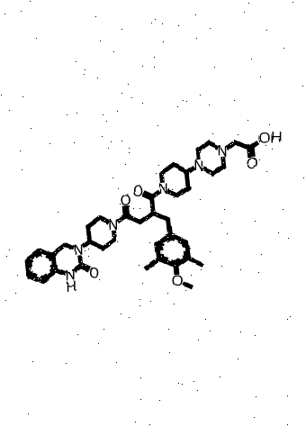 COc1c(C)cc(CC(CC(=O)N2CCC(N3Cc4ccccc4NC3=O)CC2)C(=O)N2CCC(N3CCN(CC(=O)O)CC3)CC2)cc1C